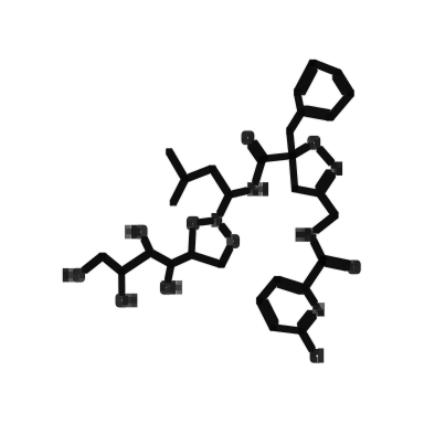 CC(C)CC(NC(=O)C1(Cc2ccccc2)CC(CNC(=O)c2cccc(Cl)n2)=NO1)B1OCC(C(O)C(O)C(O)CO)O1